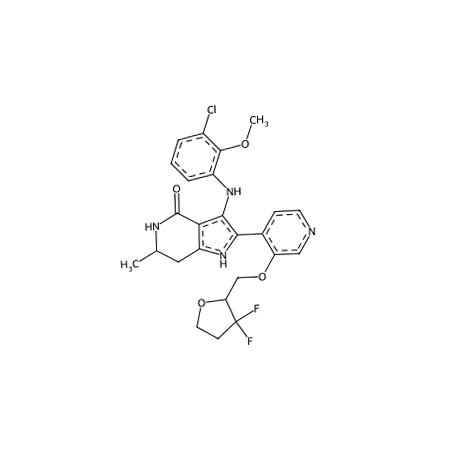 COc1c(Cl)cccc1Nc1c(-c2ccncc2OCC2OCCC2(F)F)[nH]c2c1C(=O)NC(C)C2